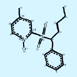 CCCCC(c1ccccc1)S(=O)(=O)c1cc(C)cc[n+]1[O-]